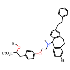 CCOC(=O)C(Cc1ccc(OCCN(C)C2c3ccc(CC)cc3CCc3cc(CCc4ccccc4)ccc32)cc1)OCC